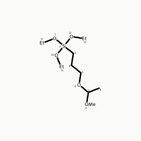 CCO[Si](CCCOC(C)OC)(OCC)OCC